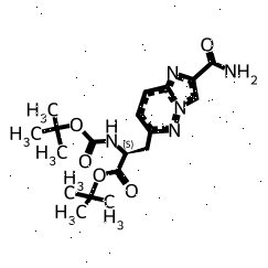 CC(C)(C)OC(=O)N[C@@H](Cc1ccc2nc(C(N)=O)cn2n1)C(=O)OC(C)(C)C